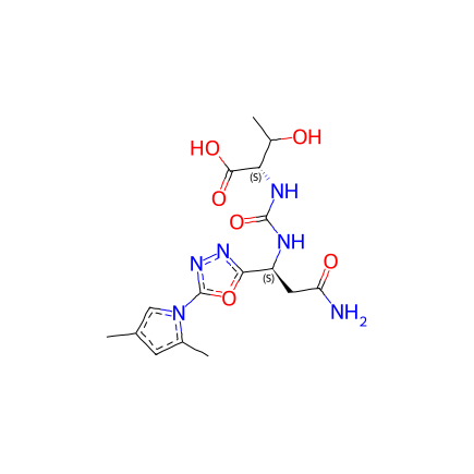 Cc1cc(C)n(-c2nnc([C@H](CC(N)=O)NC(=O)N[C@H](C(=O)O)C(C)O)o2)c1